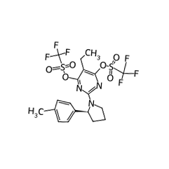 CCc1c(OS(=O)(=O)C(F)(F)F)nc(N2CCC[C@H]2c2ccc(C)cc2)nc1OS(=O)(=O)C(F)(F)F